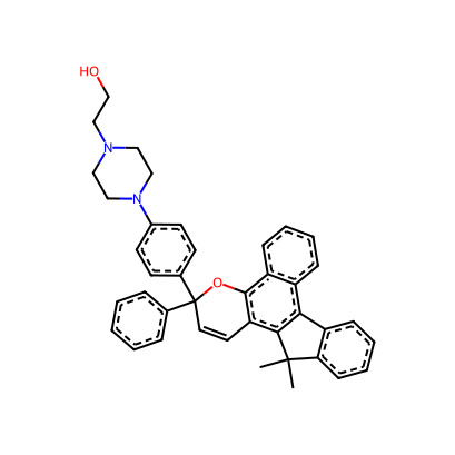 CC1(C)c2ccccc2-c2c1c1c(c3ccccc23)OC(c2ccccc2)(c2ccc(N3CCN(CCO)CC3)cc2)C=C1